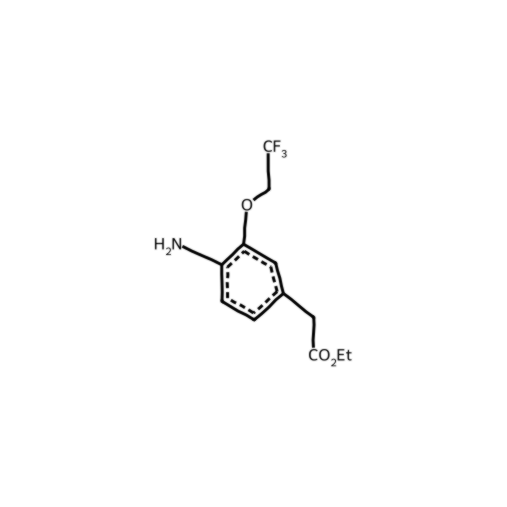 CCOC(=O)Cc1ccc(N)c(OCC(F)(F)F)c1